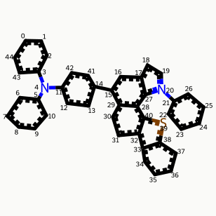 c1ccc(N(c2ccccc2)c2ccc(-c3cc4ccn(-c5ccccc5)c4c4c3ccc3c5ccccc5sc34)cc2)cc1